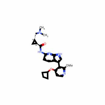 COc1nccc(OC2CCC2)c1-c1c[nH]c2nc(NC(=O)[C@H]3C[C@@H]3CN(C)C)ccc12